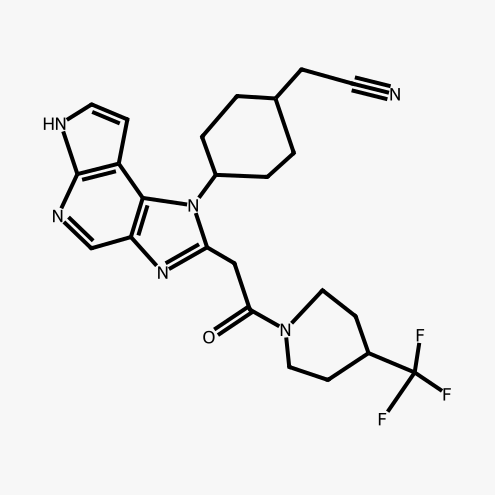 N#CCC1CCC(n2c(CC(=O)N3CCC(C(F)(F)F)CC3)nc3cnc4[nH]ccc4c32)CC1